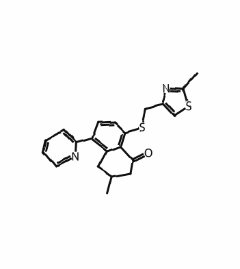 Cc1nc(CSc2ccc(-c3ccccn3)c3c2C(=O)CC(C)C3)cs1